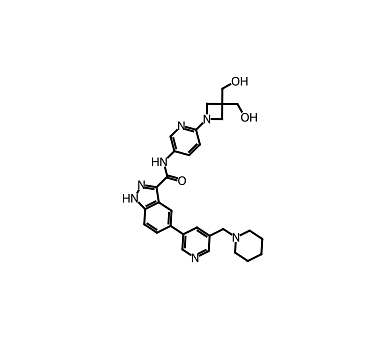 O=C(Nc1ccc(N2CC(CO)(CO)C2)nc1)c1n[nH]c2ccc(-c3cncc(CN4CCCCC4)c3)cc12